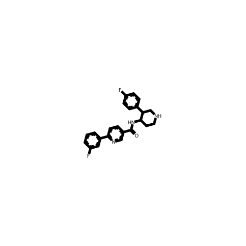 O=C(NC1CCNCC1c1ccc(F)cc1)c1ccc(-c2cccc(F)c2)nc1